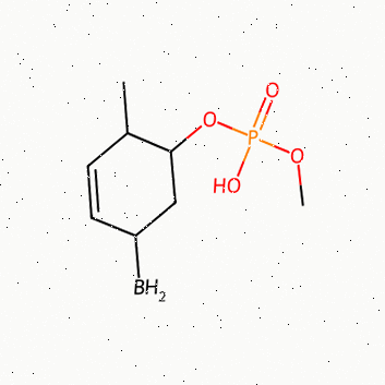 BC1C=CC(C)C(OP(=O)(O)OC)C1